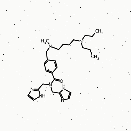 CCCN(CCC)CCCCN(C)Cc1ccc(C(=O)N(Cc2ncc[nH]2)Cc2ncc[nH]2)cc1